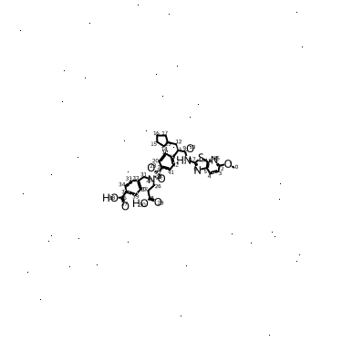 COc1ccc2nc(NC(=O)[C@H](CC3CCCC3)c3ccc(S(=O)(=O)N(CCC(=O)O)Cc4ccc(C(=O)O)cc4)cc3)sc2n1